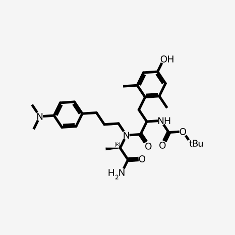 Cc1cc(O)cc(C)c1CC(NC(=O)OC(C)(C)C)C(=O)N(CCCc1ccc(N(C)C)cc1)[C@H](C)C(N)=O